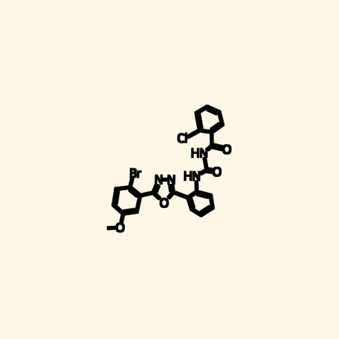 COc1ccc(Br)c(-c2nnc(-c3ccccc3NC(=O)NC(=O)c3ccccc3Cl)o2)c1